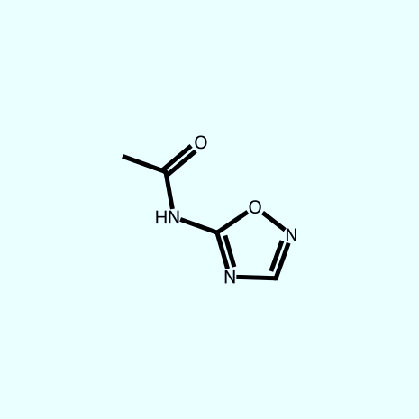 CC(=O)Nc1ncno1